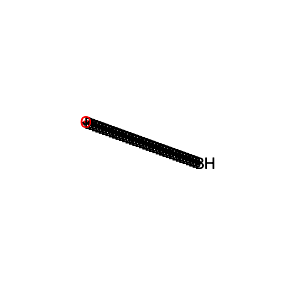 B=BB=BB=BB=BB=BB=BB=BB=BB=BB=BB=BB=BB=BB=BB=BB=BB=BOC